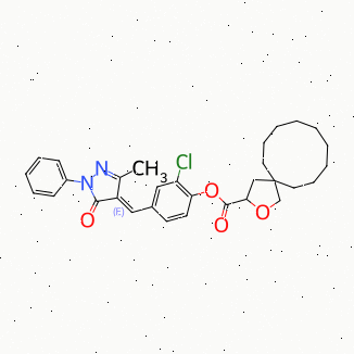 CC1=NN(c2ccccc2)C(=O)/C1=C/c1ccc(OC(=O)C2CC3(CCCCCCCCC3)CO2)c(Cl)c1